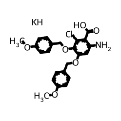 COc1ccc(COc2cc(N)c(C(=O)O)c(Cl)c2OCc2ccc(OC)cc2)cc1.[KH]